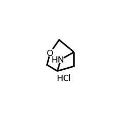 C1OCC2CC1N2.Cl